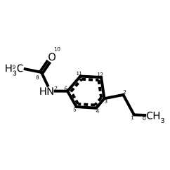 CCCc1ccc(NC(C)=O)cc1